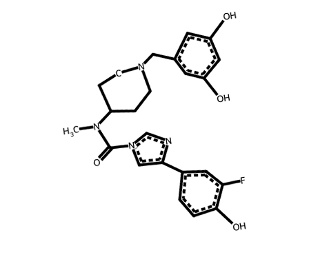 CN(C(=O)n1cnc(-c2ccc(O)c(F)c2)c1)C1CCN(Cc2cc(O)cc(O)c2)CC1